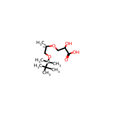 C[C@@H](CO[Si](C)(C)C(C)(C)C)OCC(O)C(=O)O